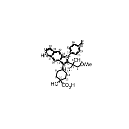 COCC(C)(C)c1c(C2CCC(O)(C(=O)O)CC2)c2cc3[nH]ncc3cc2n1-c1ccc(F)cc1